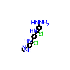 N=C(N)c1ccc2c(Cl)c(-c3ccc(-c4[nH]c5cc(C6=NCCCN6)ccc5c4Cl)cc3)[nH]c2c1